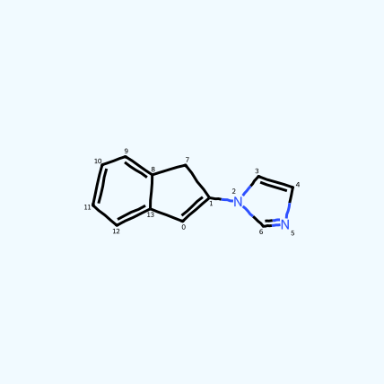 C1=C(n2ccnc2)Cc2ccccc21